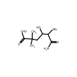 CC(C)(CC(O)C(C(N)=O)C(C)(C)C)C(=O)C=O